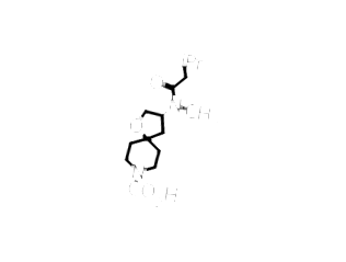 CC(C)CC(=O)N(C)[C@H]1COC2(CCN(C(=O)O)CC2)C1